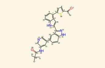 CC(=O)c1ccc(-c2cccc3[nH]c(-c4n[nH]c5ccc(-c6cncc(NC(=O)C(C)(C)C)c6)cc45)cc23)s1